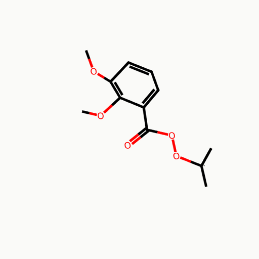 COc1cccc(C(=O)OO[C](C)C)c1OC